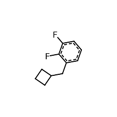 Fc1cccc(CC2CCC2)c1F